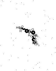 Cc1nc(S(C)(=O)=O)ccc1C(=O)Nc1ccc(Cl)c(-c2nc3cc(/C=C/C(=O)NO)ccc3[nH]2)c1